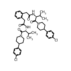 CC(C)[C@H](NC(=O)Cc1ccccc1CC(=O)N[C@@H](C(=O)N1CCC(c2ccc(Cl)cc2)CC1)C(C)C)C(=O)N1CCC(c2ccc(Cl)cc2)CC1